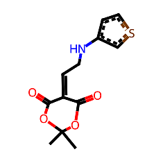 CC1(C)OC(=O)C(=CCNc2ccsc2)C(=O)O1